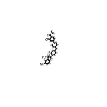 CN(C)C(=O)c1ccc(N2CCC(CC3CCN(C(=O)C(O)(c4cccc(C#N)c4)C(F)(F)F)CC3)CC2)cc1Cl